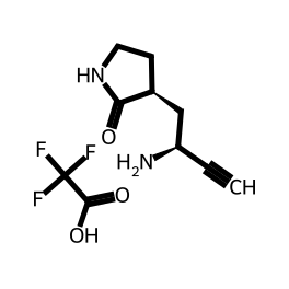 C#C[C@@H](N)C[C@@H]1CCNC1=O.O=C(O)C(F)(F)F